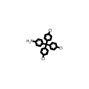 Nc1ccc(C(c2ccc(Cl)cc2)(c2ccc(Cl)cc2)c2ccc(Cl)cc2)cc1